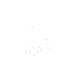 COC(=O)COCCN1CCC(=C2c3ccccc3C=Cc3ccccc32)CC1.O=C(O)/C=C/C(=O)O